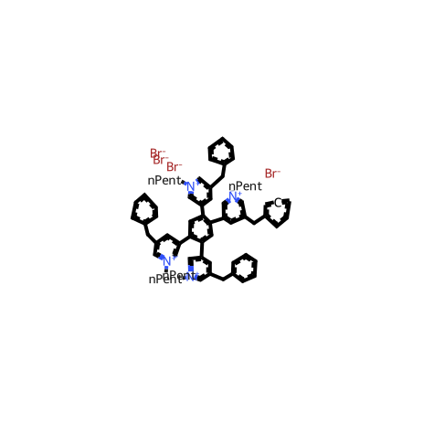 CCCCC[n+]1cc(Cc2ccccc2)cc(-c2cc(-c3cc(Cc4ccccc4)c[n+](CCCCC)c3)c(-c3cc(Cc4ccccc4)c[n+](CCCCC)c3)cc2-c2cc(Cc3ccccc3)c[n+](CCCCC)c2)c1.[Br-].[Br-].[Br-].[Br-]